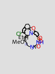 CC[C@@H]1[C@@H]2CN3C[C@@]4(CCCc5cc(Cl)c2cc54)COc2ccc(cc23)S(=O)(=O)NC(=O)[C@@H](C)N(C)C/C=C/[C@H]1OC